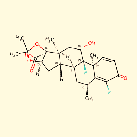 C[C@H]1C[C@H]2[C@@H]3C[C@H]4OC(C)(C)O[C@@]4(C(=O)O)[C@@]3(C)C[C@H](O)[C@]2(F)[C@@]2(C)C=CC(=O)C(F)=C12